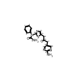 NC(=O)N(c1ccccc1)c1ncc(CC(=O)Cc2cnc(N)nc2)s1